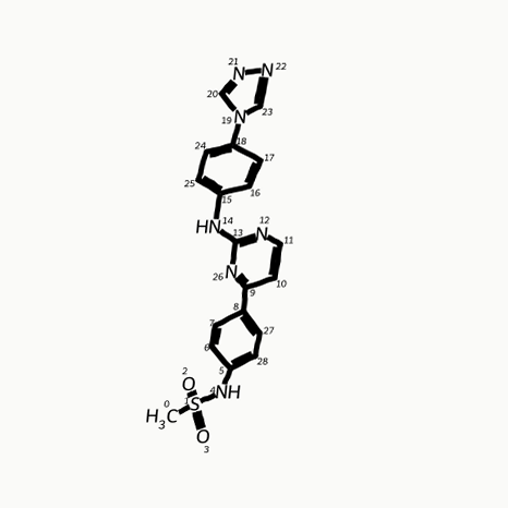 CS(=O)(=O)Nc1ccc(-c2ccnc(Nc3ccc(-n4cnnc4)cc3)n2)cc1